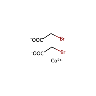 O=C([O-])CBr.O=C([O-])CBr.[Co+2]